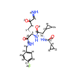 N=CC(=O)CC[C@H](NC(=O)[C@@H](NC(=O)C1CC1)C1CC1)C(=O)NCc1ccc(F)cc1